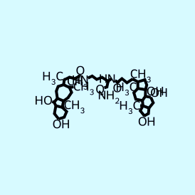 CC(CCC(=O)NCCCC(CON)NC(=O)CCC(C)C1CCC2(O)C3C(O)CC4CC(O)CC4(C)C3CCC12C)C1CCC2C(O)C3CC(O)CCC3(C)C2CCC1(C)C